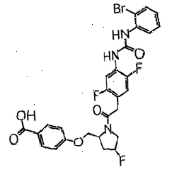 O=C(Nc1cc(F)c(CC(=O)N2C[C@@H](F)C[C@H]2COc2ccc(C(=O)O)cc2)cc1F)Nc1ccccc1Br